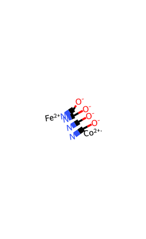 N#C[O-].N#C[O-].N#C[O-].N#C[O-].[Co+2].[Fe+2]